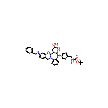 CC(C)(C)OC(=O)NCc1ccc(N2C(=O)C(CC(=O)O)C(=O)N(Cc3ccc(/N=C/c4ccccc4)cc3)c3ccccc32)cc1